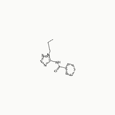 CCCn1nnnc1NC(=O)c1ccccc1